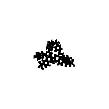 CC(C)(C)c1ccc(C2=CC(c3ccc(C(C)(C)C)cc3)=N/C2=C\c2c(-c3ccc(C(C)(C)C)cc3)cc(-c3ccc(C(C)(C)C)cc3)n2B(OCC(F)(F)C(F)(F)C(F)(F)F)OCC(F)(F)C(F)(F)C(F)(F)F)cc1